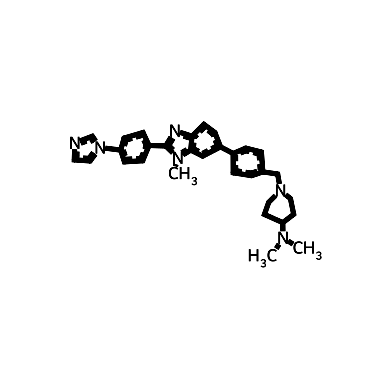 CN(C)C1CCN(Cc2ccc(-c3ccc4nc(-c5ccc(-n6ccnc6)cc5)n(C)c4c3)cc2)CC1